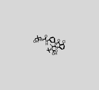 C[C@@H](c1nc2cccc(Cl)c2c(=O)n1-c1cccc(NC(=O)NCC(C)(C)CO)c1)N(C(=O)O)C(C)(C)C